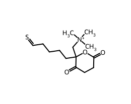 C[N+](C)(C)CC1(CCCCC=S)OC(=O)CCC1=O